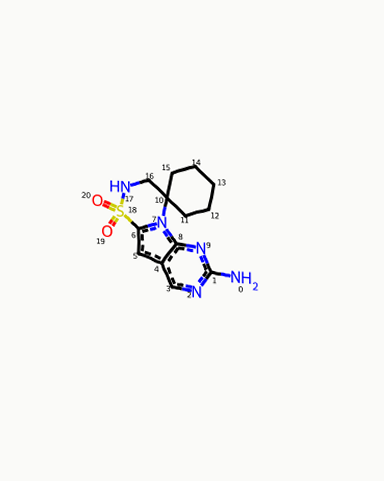 Nc1ncc2cc3n(c2n1)C1(CCCCC1)CNS3(=O)=O